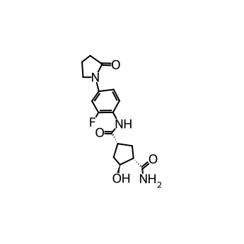 NC(=O)[C@H]1C[C@@H](C(=O)Nc2ccc(N3CCCC3=O)cc2F)C[C@@H]1O